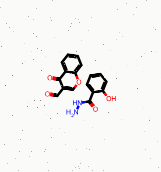 NNC(=O)c1ccccc1O.O=Cc1coc2ccccc2c1=O